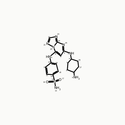 NC1CCC(Nc2cc(Nc3ccc(S(N)(=O)=O)cc3)n3ncnc3n2)CC1